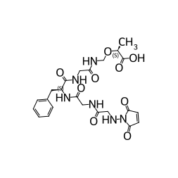 C[C@H](OCNC(=O)CNC(=O)[C@H](Cc1ccccc1)NC(=O)CNC(=O)CNN1C(=O)C=CC1=O)C(=O)O